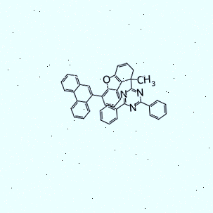 CC1(c2nc(-c3ccccc3)nc(-c3ccccc3)n2)CC=Cc2oc3c(-c4cc5ccccc5c5ccccc45)cccc3c21